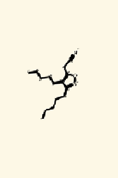 CCCCCc1noc(CC#N)c1CCCCC